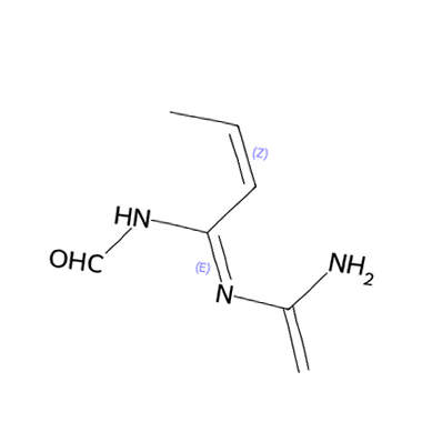 C=C(N)/N=C(\C=C/C)NC=O